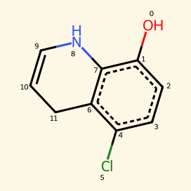 Oc1ccc(Cl)c2c1NC=CC2